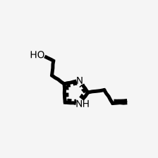 C=CCc1nc(CCO)c[nH]1